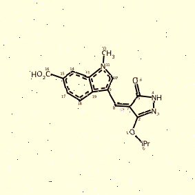 CC(C)OC1=NNC(=O)/C1=C\c1cn(C)c2cc(C(=O)O)ccc12